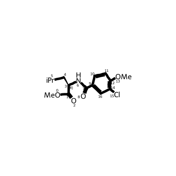 COC(=O)[C@@H](CC(C)C)NC(=O)c1ccc(OC)c(Cl)c1